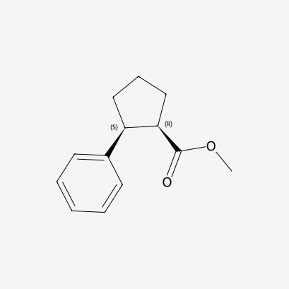 COC(=O)[C@@H]1CCC[C@@H]1c1ccccc1